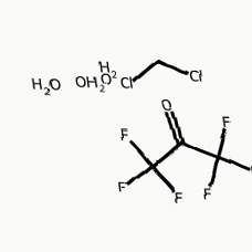 ClCCl.O.O.O.O=C(C(F)(F)F)C(F)(F)F